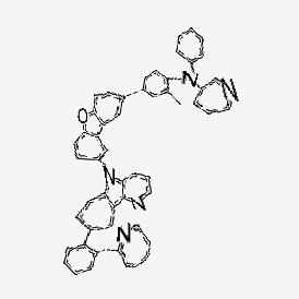 Cc1cc(-c2ccc3oc4ccc(-n5c6ccc(-c7ccccc7-c7ccccn7)cc6c6ncccc65)cc4c3c2)ccc1N(c1ccccc1)c1cccnc1